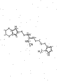 Cc1[nH]cnc1CSCCN=C(NC#N)NCCc1nc2c([nH]1)CCCC2